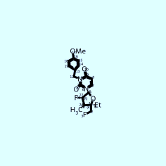 CC[C@@]1(CF)O[C@@H](n2ccc(=O)n(Cc3ccc(OC)cc3)c2=O)[C@H](F)[C@@H]1C